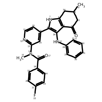 CC1CC(=O)c2c([nH]c(-c3ccnc(N(C)C(=O)c4ccc(F)cc4)c3)c2Nc2ccccc2)C1